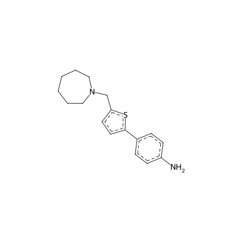 Nc1ccc(-c2ccc(CN3CCCCCC3)s2)cc1